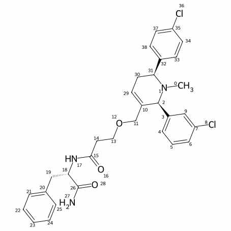 CN1[C@@H](c2cccc(Cl)c2)C(COCCC(=O)N[C@@H](Cc2ccccc2)C(N)=O)=CC[C@H]1c1ccc(Cl)cc1